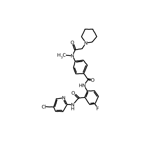 CN(C(=O)CN1CCCCC1)c1ccc(C(=O)Nc2ccc(F)cc2C(=O)Nc2ccc(Cl)cn2)cc1